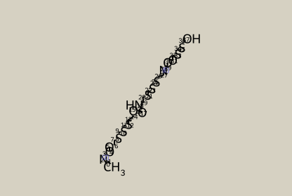 CC/N=C\OOCCSCSCSCCOC(=O)NCCSCSCSCC/N=C/OOCSCSCO